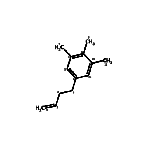 C=CCCc1cc(C)c(C)c(C)c1